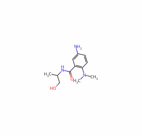 CC(CO)NC(=O)c1cc(N)ccc1N(C)C